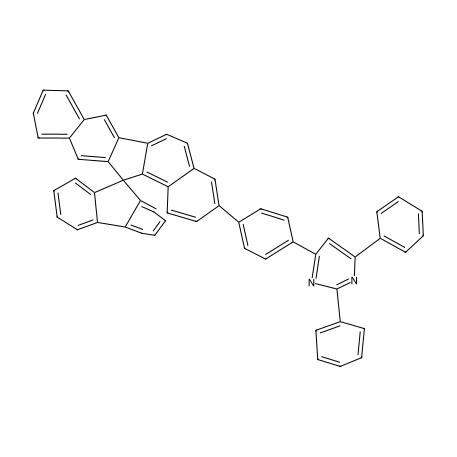 c1ccc(-c2cc(-c3ccc(-c4ccc5c6c(ccc5c4)-c4cc5ccccc5cc4C64c5ccccc5-c5ccccc54)cc3)nc(-c3ccccc3)n2)cc1